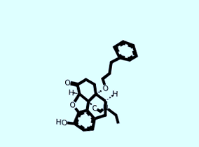 CCN1CC[C@]23c4c5ccc(O)c4O[C@H]2C(=O)CC[C@@]3(OCCCc2ccccc2)[C@H]1C5